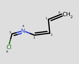 C=C/C=C\N=C/Cl